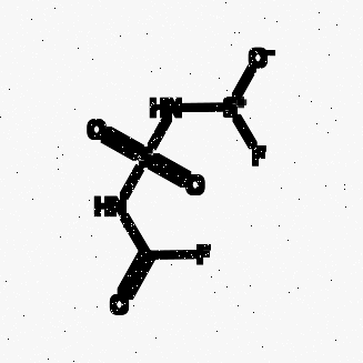 O=C(F)NS(=O)(=O)N[S+]([O-])F